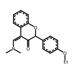 CCOc1ccc(C2Oc3ccccc3C(=CN(C)C)C2=O)cc1